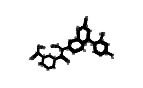 COC(=O)[C@H]1CN(C(=O)[C@@H](C=O)c2ccc3c(-c4ccc(F)cc4Cl)cc(=O)oc3c2)CCN1